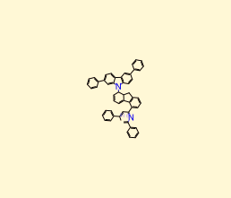 C=C(/N=C(\C=C(/C)c1ccccc1)c1cccc2c1C1=CC=CC(n3c4ccc(-c5ccccc5)cc4c4ccc(-c5ccccc5)cc43)C1C2)c1ccccc1